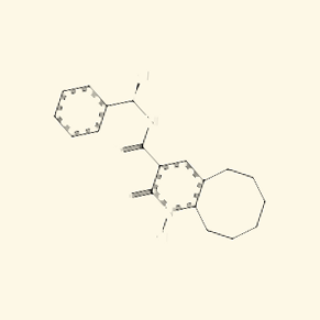 C[C@@H](NC(=O)c1cc2c(n(C)c1=O)CCCCCC2)c1ccccc1